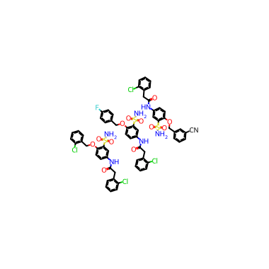 N#Cc1cccc(COc2ccc(NC(=O)Cc3ccccc3Cl)cc2S(N)(=O)=O)c1.NS(=O)(=O)c1cc(NC(=O)Cc2ccccc2Cl)ccc1OCc1ccc(F)cc1.NS(=O)(=O)c1cc(NC(=O)Cc2ccccc2Cl)ccc1OCc1ccccc1Cl